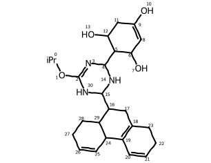 CC(C)OC1=NC(C2C(O)C=C(O)CC2O)NC(C2CC3=C(C=CCC3)C3C=CCCC32)N1